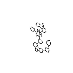 c1ccc(-c2cccc(-c3ccc4oc5cccc(-c6cccc(-c7nc(-c8ccccc8)nc(-c8cccc9sc%10ccccc%10c89)n7)c6)c5c4c3)c2)cc1